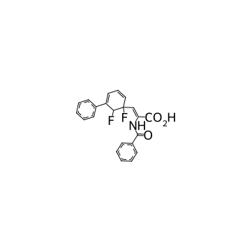 O=C(O)C(=CC1(F)C=CC=C(c2ccccc2)C1F)NC(=O)c1ccccc1